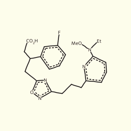 CCN(OC)c1cccc(CCCc2noc(CC(CC(=O)O)c3cccc(F)c3)n2)n1